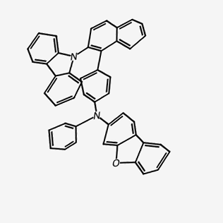 c1ccc(N(c2ccc(-c3c(-n4c5ccccc5c5ccccc54)ccc4ccccc34)cc2)c2ccc3c(c2)oc2ccccc23)cc1